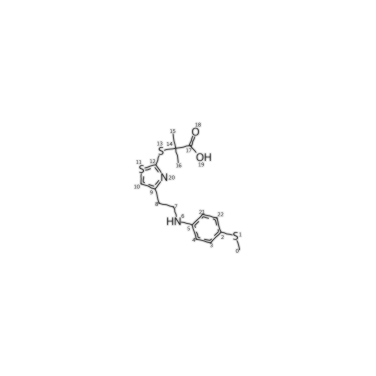 CSc1ccc(NCCc2csc(SC(C)(C)C(=O)O)n2)cc1